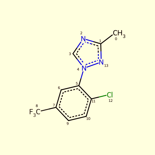 Cc1ncn(-c2cc(C(F)(F)F)ccc2Cl)n1